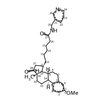 COc1ccc2c(c1)CC[C@H]1[C@@H]3[C@H](CCCCCC(=O)NCc4cccnc4)CC(=O)[C@@]3(C)CC[C@H]21